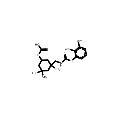 CCCc1cccc(OC(=S)NCC2(C)CC(NC(O)=S)CC(C)(C)C2)c1CCC